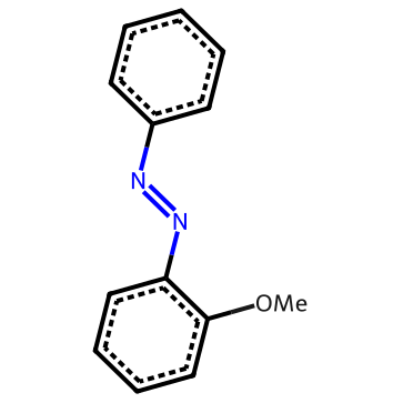 COc1ccccc1N=Nc1ccccc1